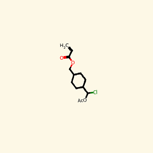 C=CC(=O)OCC1CCC(C(Cl)OC(C)=O)CC1